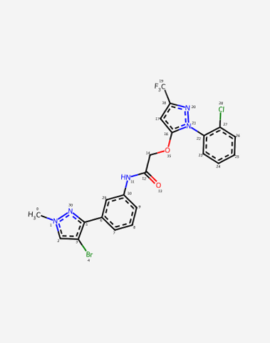 Cn1cc(Br)c(-c2cccc(NC(=O)COc3cc(C(F)(F)F)nn3-c3ccccc3Cl)c2)n1